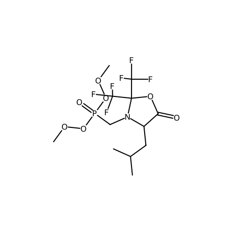 COOP(=O)(CN1C(CC(C)C)C(=O)OC1(C(F)(F)F)C(F)(F)F)OOC